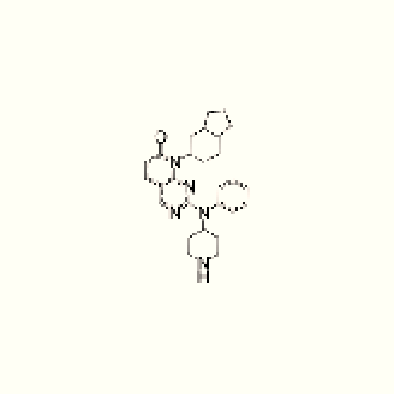 O=c1ccc2cnc(N(c3ccccc3)C3CCNCC3)nc2n1C1CCC2CCCC2C1